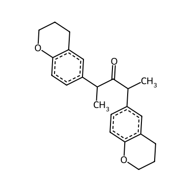 CC(C(=O)C(C)c1ccc2c(c1)CCCO2)c1ccc2c(c1)CCCO2